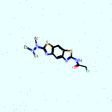 CCN(CC)N(C(C)=O)c1nc2cc3nc(NC(=O)CCl)sc3cc2s1